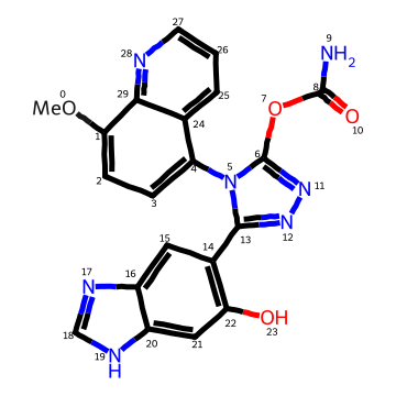 COc1ccc(-n2c(OC(N)=O)nnc2-c2cc3nc[nH]c3cc2O)c2cccnc12